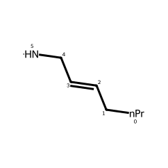 CCCCC=CC[NH]